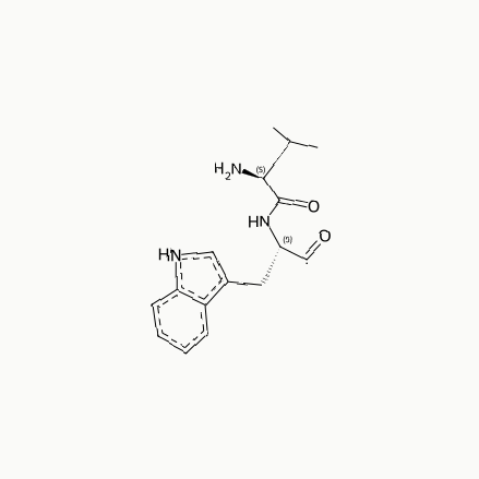 CC(C)[C@H](N)C(=O)N[C@H]([C]=O)Cc1c[nH]c2ccccc12